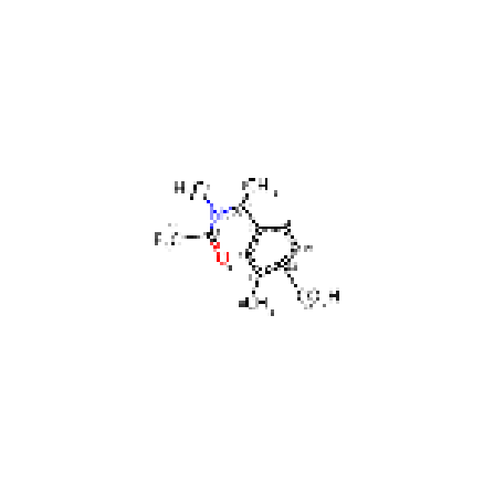 Cc1cc([C@H](C)N(C)C(=O)C(F)(F)F)ccc1C(=O)O